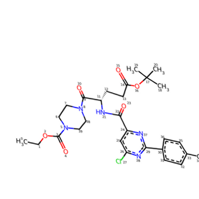 CCOC(=O)N1CCN(C(=O)[C@H](CCC(=O)OC(C)(C)C)NC(=O)c2cc(Cl)nc(-c3ccc(C)cc3)n2)CC1